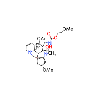 CC[C@]12C=CCN3CC[C@@]4(c5ccc(OC)cc5N(C)[C@H]4C(O)(CNC(=O)OCCOC)[C@@H]1OC(C)=O)[C@@H]32